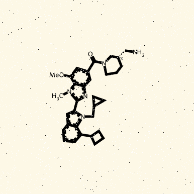 COc1cc(C(=O)N2CCC[C@@H](CN)C2)cc2nc(-c3cc4cccc(C5CCC5)c4n3CC3CC3)n(C)c12